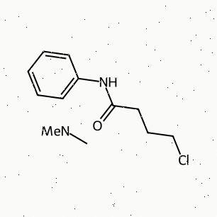 CNC.O=C(CCCCl)Nc1ccccc1